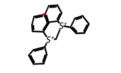 c1ccc([S+](C[S+](c2ccccc2)c2ccccc2)c2ccccc2)cc1